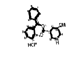 Cl.O=C(OC(c1ccccc1)c1ccccc1)[C@H]1CNC[C@@H](O)C1